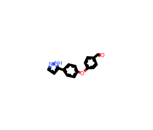 O=Cc1ccc(Oc2ccc(-c3ccn[nH]3)cc2)cc1